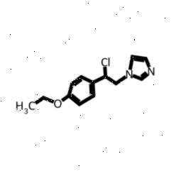 CCOc1ccc(C(Cl)Cn2ccnc2)cc1